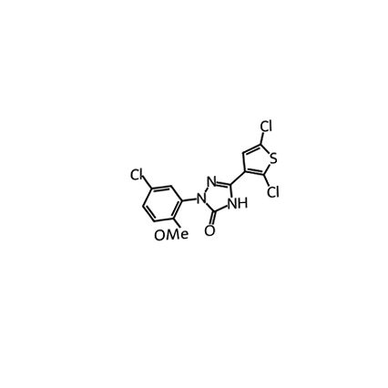 COc1ccc(Cl)cc1-n1nc(-c2cc(Cl)sc2Cl)[nH]c1=O